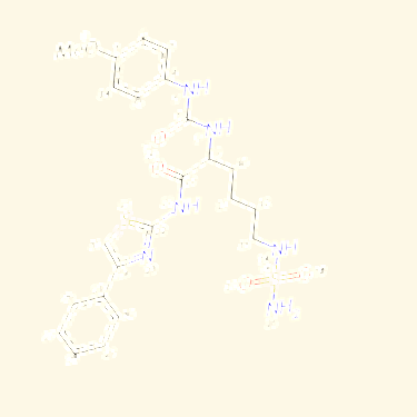 COc1ccc(NC(=O)NC(CCCCNS(N)(=O)=O)C(=O)Nc2nc(-c3ccccc3)cs2)cc1